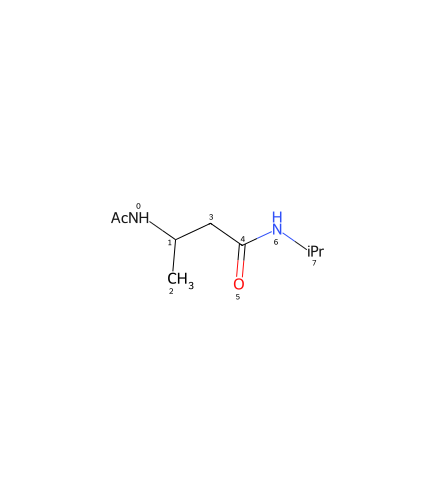 CC(=O)NC(C)CC(=O)NC(C)C